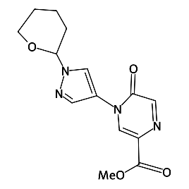 COC(=O)c1cn(-c2cnn(C3CCCCO3)c2)c(=O)cn1